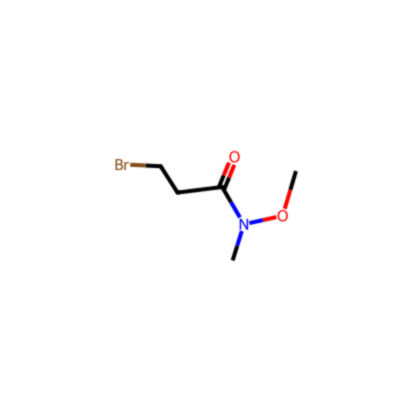 CON(C)C(=O)CCBr